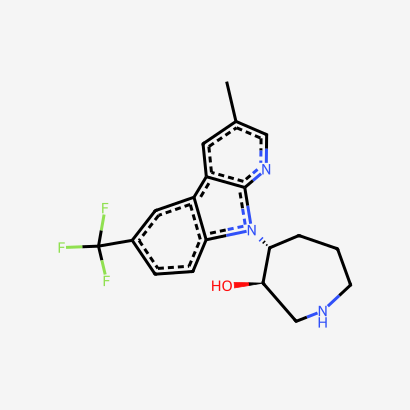 Cc1cnc2c(c1)c1cc(C(F)(F)F)ccc1n2[C@@H]1CCCNC[C@H]1O